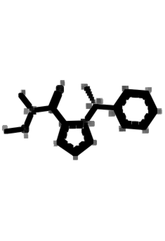 CON(C)C(=O)c1cccn1[C@H](C)c1ccccc1